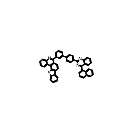 c1cc(-c2ccc(-c3nc(-c4cccc5ccccc45)c4ccccc4n3)cc2)cc(-c2nc3ccccc3c3c2ccc2c4ccccc4sc23)c1